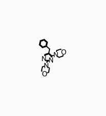 c1ccc(Cc2cnc(N3CCOCC3)nc2N2CCOCC2)cc1